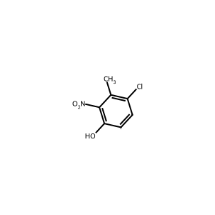 Cc1c(Cl)c[c]c(O)c1[N+](=O)[O-]